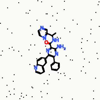 CC(NC(=O)c1nc(-c2ccc3ncccc3c2)c(-c2ccccc2)nc1N)c1cnccn1